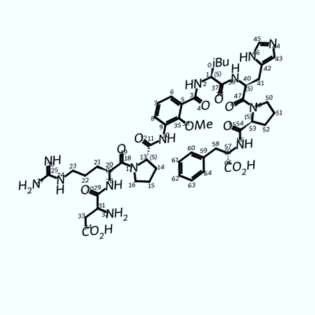 CCC(C)[C@H](NC(=O)c1cccc(NC(=O)[C@@H]2CCCN2C(=O)[C@H](CCCNC(=N)N)NC(=O)C(N)CC(=O)O)c1OC)C(=O)N[C@@H](Cc1cnc[nH]1)C(=O)N1CCC[C@H]1C(=O)N[C@@H](Cc1ccccc1)C(=O)O